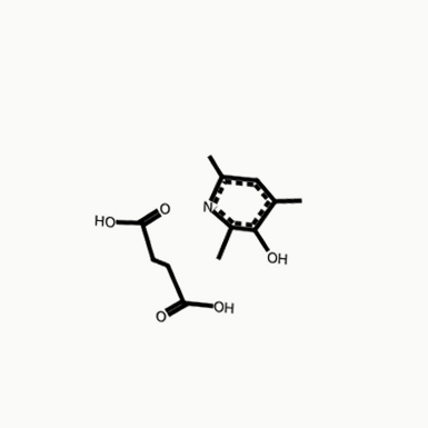 Cc1cc(C)c(O)c(C)n1.O=C(O)CCC(=O)O